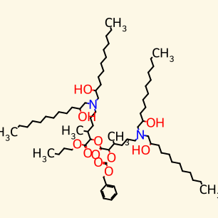 CCCCCCCCCCC(O)CN(CCCC(C)C(OC(=O)OCc1ccccc1)C(=O)OC(C(=O)OCCCC)C(C)CCCN(CC(O)CCCCCCCCCC)CC(O)CCCCCCCCCC)CC(O)CCCCCCCCCC